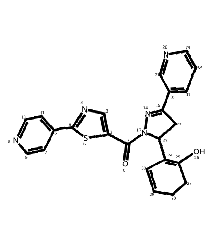 O=C(c1cnc(-c2ccncc2)s1)N1N=C(c2cccnc2)CC1C1=C(O)CCC=C1